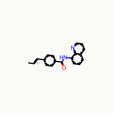 C/C=C/c1ccc(C(=O)Nc2cccc3cccnc23)cc1